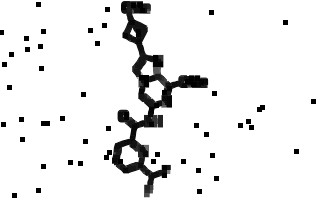 COc1nc(NC(=O)c2cccc(C(F)F)n2)cn2cc(C34CC(OC)(C3)C4)nc12